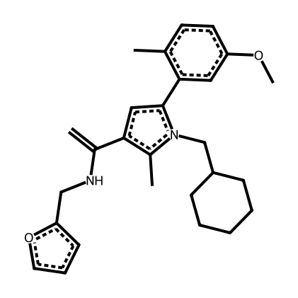 C=C(NCc1ccco1)c1cc(-c2cc(OC)ccc2C)n(CC2CCCCC2)c1C